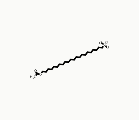 CC(=O)OCCCCCCCCCCCCCCCCCCCCCC[Si](Cl)(Cl)Cl